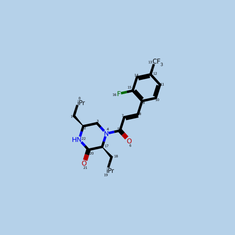 CC(C)C[C@H]1CN(C(=O)C=Cc2ccc(C(F)(F)F)cc2F)[C@@H](CC(C)C)C(=O)N1